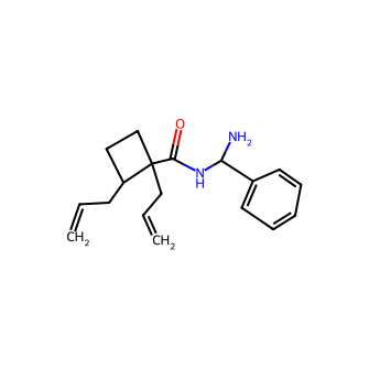 C=CCC1CCC1(CC=C)C(=O)NC(N)c1ccccc1